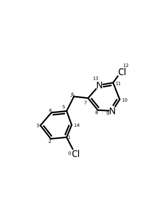 Clc1cccc([CH]c2cncc(Cl)n2)c1